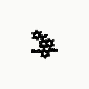 COc1cccc(OC)c1C(=O)c1ccccc1C(=O)C(=O)c1ccccc1